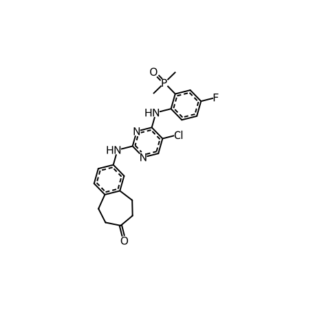 CP(C)(=O)c1cc(F)ccc1Nc1nc(Nc2ccc3c(c2)CCC(=O)CC3)ncc1Cl